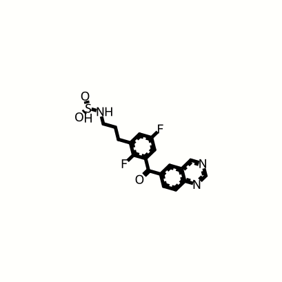 O=C(c1ccc2ncncc2c1)c1cc(F)cc(CCCN[SH](=O)=O)c1F